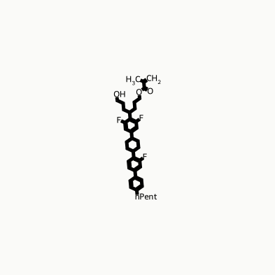 C=C(C)C(=O)OCCCC(CCCO)c1c(F)cc(C2CCC(c3ccc(-c4ccc(CCCCC)cc4)cc3F)CC2)cc1F